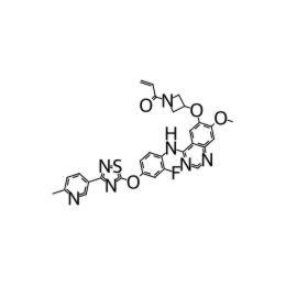 C=CC(=O)N1CC(Oc2cc3c(Nc4ccc(Oc5nc(-c6ccc(C)nc6)ns5)cc4F)ncnc3cc2OC)C1